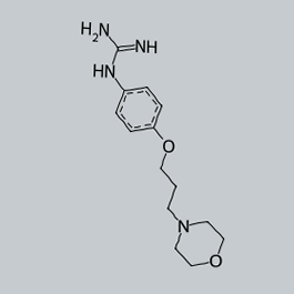 N=C(N)Nc1ccc(OCCCN2CCOCC2)cc1